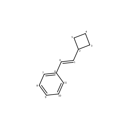 C(=CC1CCC1)c1ccccc1